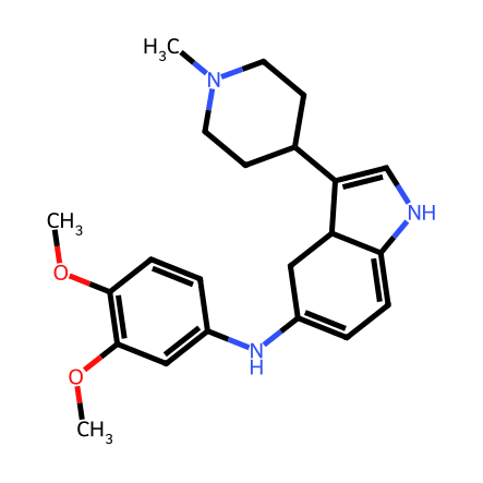 COc1ccc(NC2=CC=C3NC=C(C4CCN(C)CC4)C3C2)cc1OC